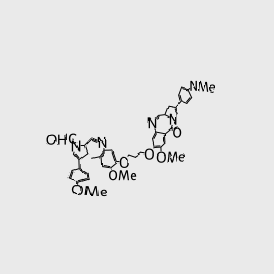 CNc1ccc(C2=CN3C(=O)c4cc(OC)c(OCCCOc5cc(/N=C\C6CC(c7ccc(OC)cc7)=CN6C=O)c(C)cc5OC)cc4N=CC3C2)cc1